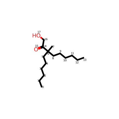 CCCCCCC(C)(CCCCCC)C(=O)CO